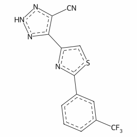 N#Cc1n[nH]nc1-c1csc(-c2cccc(C(F)(F)F)c2)n1